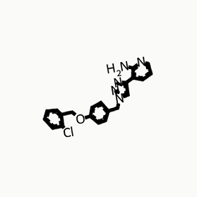 Nc1ncccc1-c1cn(Cc2ccc(OCc3ccccc3Cl)cc2)nn1